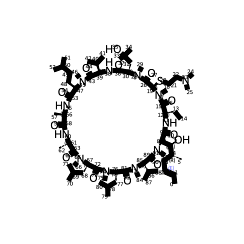 C/C=C/C[C@@H](C)[C@@H](O)[C@H]1C(=O)N[C@@H](CC)C(=O)N(C)[C@H](SCCN(C)C)C(=O)N(C)[C@@H](CC(C)(C)O)C(=O)N[C@H](C(C)C)C(=O)N(C)[C@H](CCC(C)C)C(=O)N[C@H](C)C(=O)N[C@@H](C)C(=O)N(C)[C@@H](CC(C)C)C(=O)N(C)[C@@H](CC(C)C)C(=O)N(C)[C@@H](C(C)C)C(=O)N1C